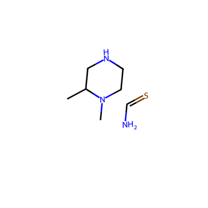 CC1CNCCN1C.NC=S